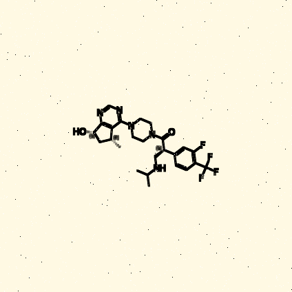 CC(C)NC[C@@H](C(=O)N1CCN(c2ncnc3c2[C@H](C)C[C@@H]3O)CC1)c1ccc(C(F)(F)F)c(F)c1